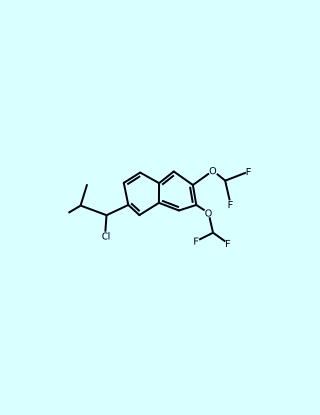 CC(C)C(Cl)c1ccc2cc(OC(F)F)c(OC(F)F)cc2c1